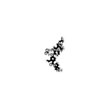 CCc1cc(Nc2nccn3c(-c4cn(CC(F)F)nc4C(F)(F)F)cnc23)ccc1C(=O)N1CCC2(CNC2)C1.O=CO